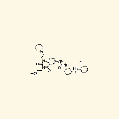 COCCn1c(=O)c2cc(NC(=O)Nc3cccc(C(C)Nc4ccccc4F)c3)ccc2n(CCN2CCCCC2)c1=O